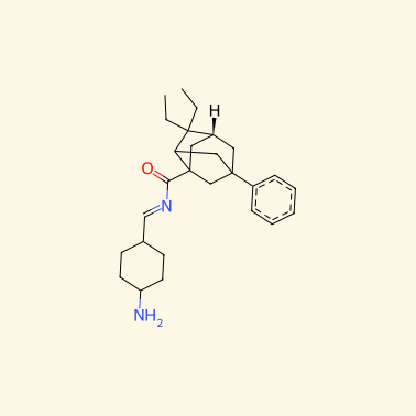 CCC1(CC)C2CC3(c4ccccc4)C[C@@H]1CC2(C(=O)/N=C/C1CCC(N)CC1)C3